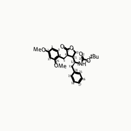 COc1ccc(C[C@H]2C(=O)OCC2[C@H](Cc2ccccc2)NC(=O)OC(C)(C)C)c(OC)c1